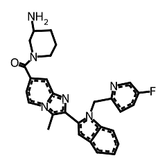 Cc1c(-c2cc3ccccc3n2Cc2ccc(F)cn2)nc2cc(C(=O)N3CCCC(N)C3)ccn12